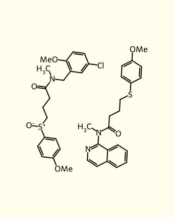 COc1ccc(SCCCC(=O)N(C)c2nccc3ccccc23)cc1.COc1ccc([S+]([O-])CCCC(=O)N(C)Cc2cc(Cl)ccc2OC)cc1